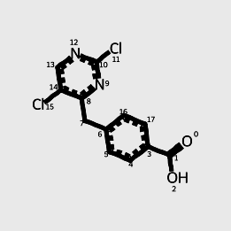 O=C(O)c1ccc(Cc2nc(Cl)ncc2Cl)cc1